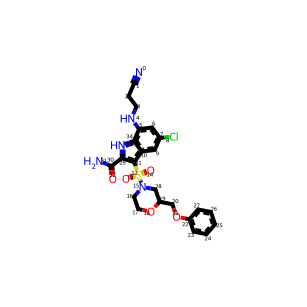 N#CCCNc1cc(Cl)cc2c(S(=O)(=O)N3CCOC(COc4ccccc4)C3)c(C(N)=O)[nH]c12